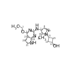 CCOc1nc(Nc2cnn(C3CC(O)C3)c2C)nc2[nH]ccc12